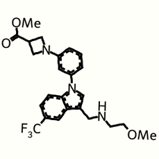 COCCNCc1cn(-c2cccc(N3CC(C(=O)OC)C3)c2)c2ccc(C(F)(F)F)cc12